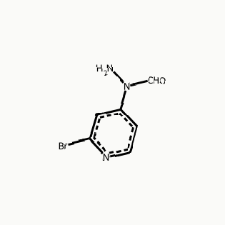 NN(C=O)c1ccnc(Br)c1